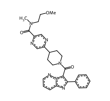 COCCN(C)C(=O)c1cnc(C2CCN(C(=O)c3c(-c4ccccc4)nc4cccnn34)CC2)cn1